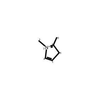 CC1=[N+](C)C=CC1